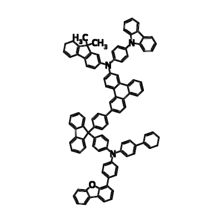 CC1(C)C2=C(C=CCC2)c2ccc(N(c3ccc(-n4c5ccccc5c5ccccc54)cc3)c3ccc4c5cc(-c6ccc(C7(c8ccc(N(c9ccc(C%10=CCCC=C%10)cc9)c9ccc(-c%10cccc%11c%10oc%10ccccc%10%11)cc9)cc8)c8ccccc8-c8ccccc87)cc6)ccc5c5ccccc5c4c3)cc21